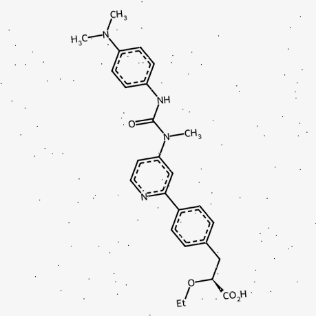 CCO[C@@H](Cc1ccc(-c2cc(N(C)C(=O)Nc3ccc(N(C)C)cc3)ccn2)cc1)C(=O)O